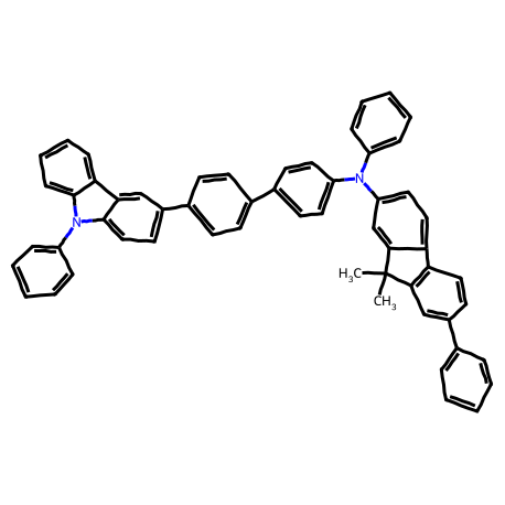 CC1(C)c2cc(-c3ccccc3)ccc2-c2ccc(N(c3ccccc3)c3ccc(-c4ccc(-c5ccc6c(c5)c5ccccc5n6-c5ccccc5)cc4)cc3)cc21